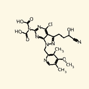 COc1c(C)cnc(Cn2nc(CCC(O)C#N)c3c(Cl)nc(N(C(=O)O)C(=O)O)nc32)c1C